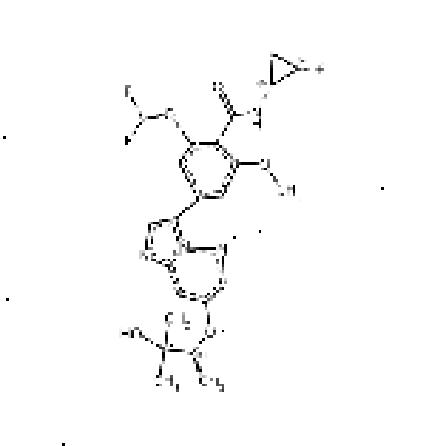 COc1cc(-c2cnc3cc(O[C@@H](C)C(C)(C)O)cnn23)cc(OC(F)F)c1C(=O)N[C@@H]1C[C@@H]1F